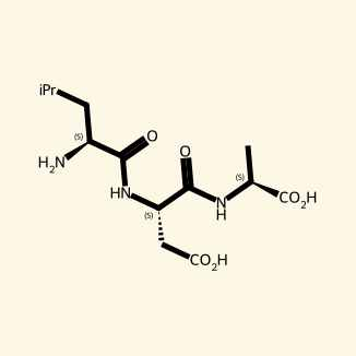 CC(C)C[C@H](N)C(=O)N[C@@H](CC(=O)O)C(=O)N[C@@H](C)C(=O)O